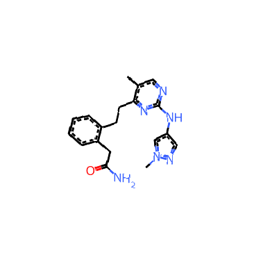 Cc1cnc(Nc2cnn(C)c2)nc1CCc1ccccc1CC(N)=O